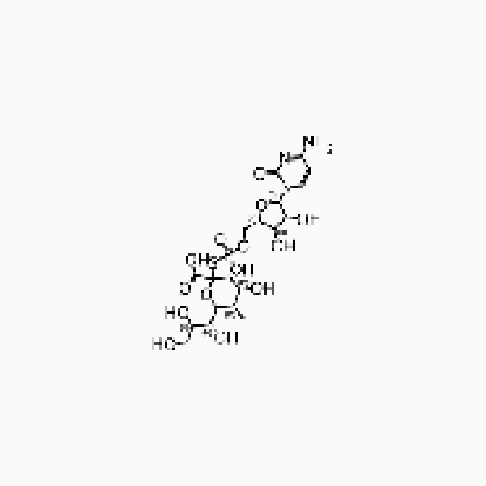 C[C@H]1C([C@H](O)[C@H](O)CO)OC(SP(=O)(O)OC[C@H]2O[C@@H](n3ccc(N)nc3=O)C(O)[C@H]2O)(C(=O)O)C[C@H]1O